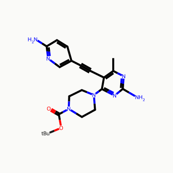 Cc1nc(N)nc(N2CCN(C(=O)OC(C)(C)C)CC2)c1C#Cc1ccc(N)nc1